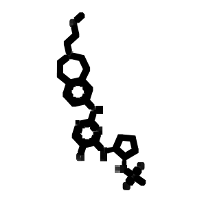 COCCN1CCc2ccc(Nc3ncc(Cl)c(N[C@H]4CCC[C@@H]4NS(C)(=O)=O)n3)cc2CC1